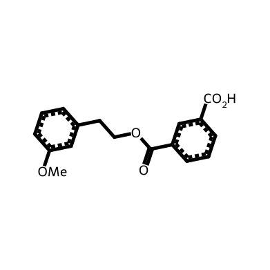 COc1cccc(CCOC(=O)c2cccc(C(=O)O)c2)c1